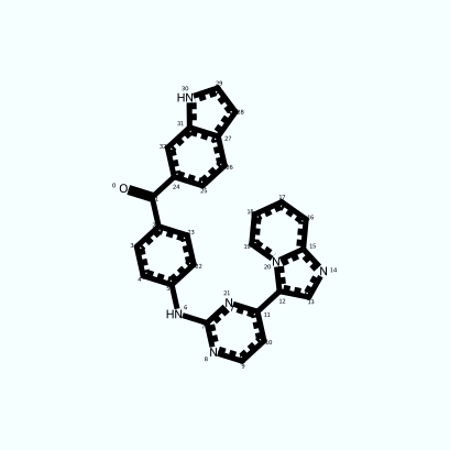 O=C(c1ccc(Nc2nccc(-c3cnc4ccccn34)n2)cc1)c1ccc2cc[nH]c2c1